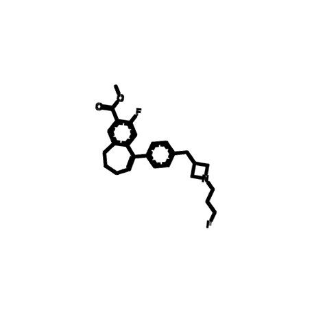 COC(=O)c1cc2c(cc1F)C(c1ccc(CC3CN(CCCF)C3)cc1)=CCCC2